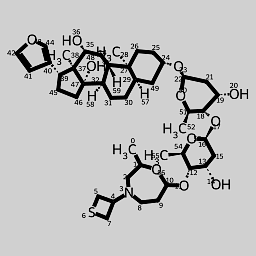 CC1CN(C2CSC2)CCC(O[C@H]2[C@@H](O)C[C@H](O[C@H]3[C@@H](O)C[C@H](O[C@H]4CC[C@@]5(C)[C@H](CC[C@@H]6[C@@H]5C[C@@H](O)[C@]5(C)[C@@H](c7ccoc7)CC[C@]65O)C4)O[C@@H]3C)O[C@@H]2C)O1